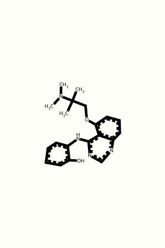 CN(C)C(C)(C)COc1cccc2ncnc(Nc3ccccc3O)c12